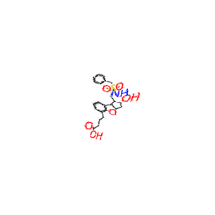 O=C(O)CCCc1cccc2c1OC1CC(O)C(CNS(=O)(=O)Cc3ccccc3)C21